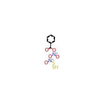 O=C(O[N+](=O)O[N+](=O)SS)c1ccccc1